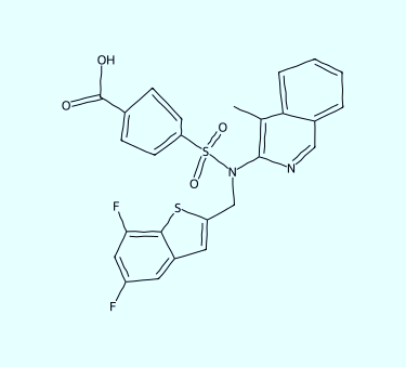 Cc1c(N(Cc2cc3cc(F)cc(F)c3s2)S(=O)(=O)c2ccc(C(=O)O)cc2)ncc2ccccc12